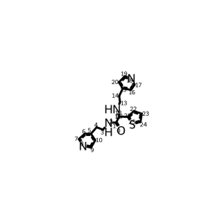 O=C(NCCc1ccncc1)[C@@H](NCCc1ccncc1)c1cccs1